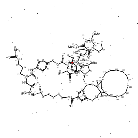 CCCCCC12SCc3cc(C(=O)NCCCCCC(=O)N[C@H](C(=O)N[C@@H](CCCNC(N)=O)C(=O)Nc4ccc(COC(=O)N(C)C(C(=O)N[C@H](C(=O)N(C)[C@@H]([C@@H](C)CC)[C@@H](CC(=O)N5CCC[C@H]5[C@H](OC)[C@@H](C)C(=O)N[C@H](C)[C@@H](O)c5cccc6c5C(CCCC)CC6C)OC)C(C)C)C(C)C)cc4)C(C)C)cc(n3)CSC1(C)C1CCCCCCCCCCCCC2C1